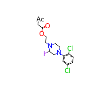 CC(=O)CC(=O)OCCN1CCN(c2cc(Cl)ccc2Cl)CC1I